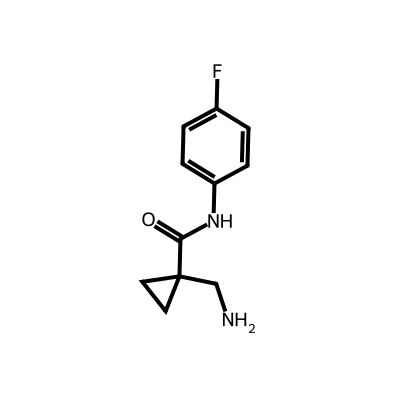 NCC1(C(=O)Nc2ccc(F)cc2)CC1